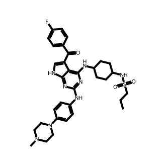 CCCS(=O)(=O)NC1CCC(Nc2nc(Nc3ccc(N4CCN(C)CC4)cc3)nc3[nH]cc(C(=O)c4ccc(F)cc4)c23)CC1